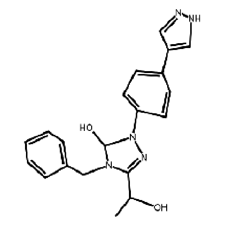 CC(O)C1=NN(c2ccc(-c3cn[nH]c3)cc2)C(O)N1Cc1ccccc1